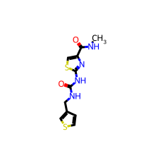 CNC(=O)c1csc(NC(=O)NCc2ccsc2)n1